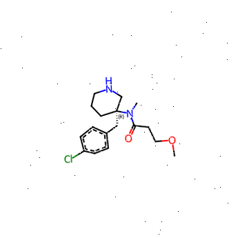 COCCC(=O)N(C)[C@@]1(Cc2ccc(Cl)cc2)CCCNC1